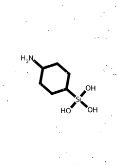 NC1CCC([Si](O)(O)O)CC1